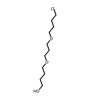 OCCCCOCCCOCCCCCl